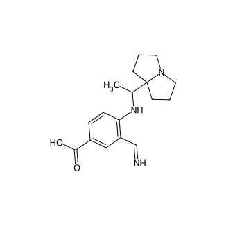 CC(Nc1ccc(C(=O)O)cc1C=N)C12CCCN1CCC2